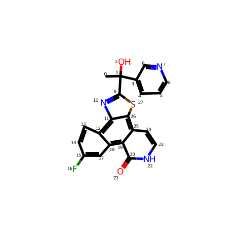 CC(O)(c1cccnc1)c1nc2c3ccc(F)cc3c3c(=O)[nH]ccc3c2s1